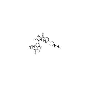 CN1CCC(c2ccc(Nc3ncc(F)c(-c4cc(F)c5c(=O)[nH]c6cncn6c5c4)n3)nn2)CC1